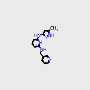 Cc1cc(Nc2cccc(NCc3cccnc3)n2)n[nH]1